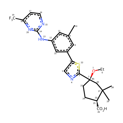 CCO[C@]1(c2ncc(-c3cc(C)cc(Nc4nccc(C(F)(F)F)n4)c3)s2)CC[C@H](C(=O)O)C(C)(C)C1